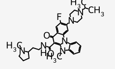 CC(C)N1CCN(c2cc3c(cc2F)c(=O)c(C(=O)NCCC2CCCN2C)c2n(C)c4ccccc4n32)CC1